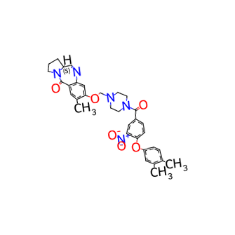 Cc1ccc(Oc2ccc(C(=O)N3CCN(COc4cc5c(cc4C)C(=O)N4CCC[C@H]4C=N5)CC3)cc2[N+](=O)[O-])cc1C